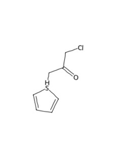 O=C(CCl)C[SH]1C=CC=C1